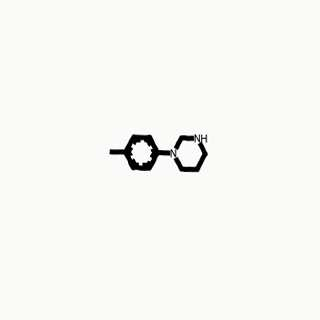 Cc1ccc(N2CCCNC2)cc1